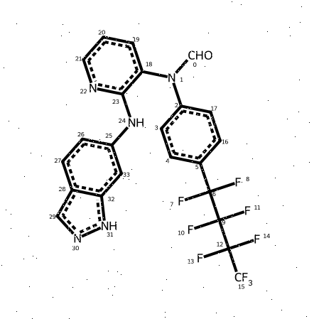 O=CN(c1ccc(C(F)(F)C(F)(F)C(F)(F)C(F)(F)F)cc1)c1cccnc1Nc1ccc2cn[nH]c2c1